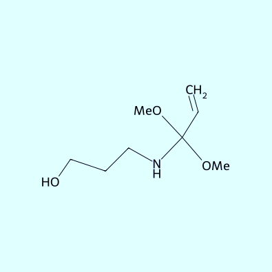 C=CC(NCCCO)(OC)OC